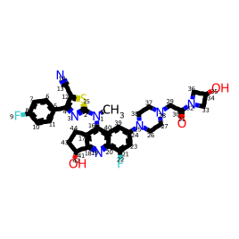 CN(c1nc(-c2ccc(F)cc2)c(C#N)s1)c1c2c(nc3c(F)cc(N4CCN(CC(=O)N5CC(O)C5)CC4)cc13)C(O)CC2